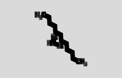 CCCCCCCCCCCC.CCNCC